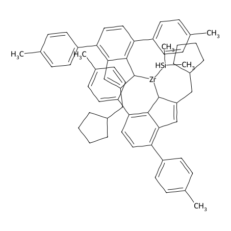 Cc1ccc(-c2ccc(-c3ccc(C)cc3)c3c2C=C(CC2CCCC2)[CH]3[Zr]([CH]2C(CC3CCCC3)=Cc3c(-c4ccc(C)cc4)ccc(-c4ccc(C)cc4)c32)[SiH](C)C)cc1